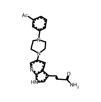 CC(=O)c1cccc(N2CCN(c3cnc4[nH]cc(C=CC(N)=O)c4c3)CC2)c1